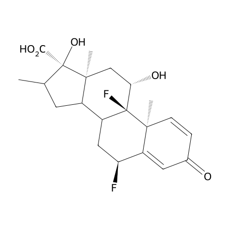 CC1CC2C3C[C@H](F)C4=CC(=O)C=C[C@]4(C)[C@@]3(F)[C@@H](O)C[C@]2(C)[C@@]1(O)C(=O)O